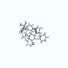 CC(C)(C)OC(C(=O)O)c1c(C(F)(F)F)ccc(-n2ccc(-c3ccccc3)n2)c1-c1ccc2c(c1)CCCO2